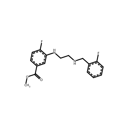 COC(=O)c1ccc(F)c(NCCNCc2ccccc2F)c1